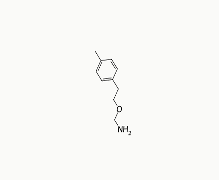 Cc1ccc(CCOCN)cc1